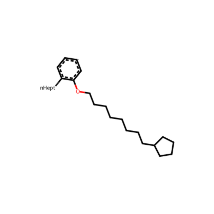 CCCCCCCc1cc[c]cc1OCCCCCCCCC1CCCC1